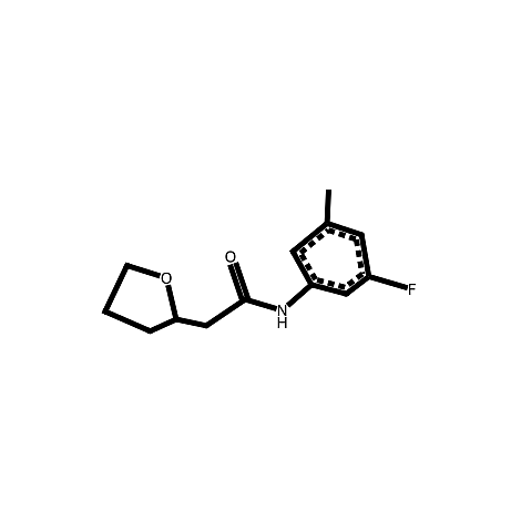 Cc1cc(F)cc(NC(=O)CC2CCCO2)c1